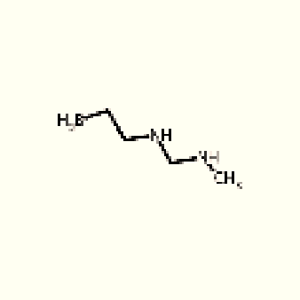 BCCNCNC